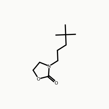 CC(C)(C)CCCN1CCOC1=O